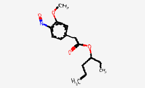 CCCC(CC)OC(=O)Cc1ccc(N=O)c(OC)c1